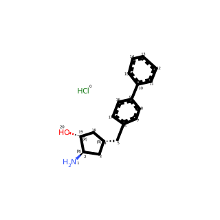 Cl.N[C@@H]1C[C@@H](Cc2ccc(-c3ccccc3)cc2)C[C@H]1O